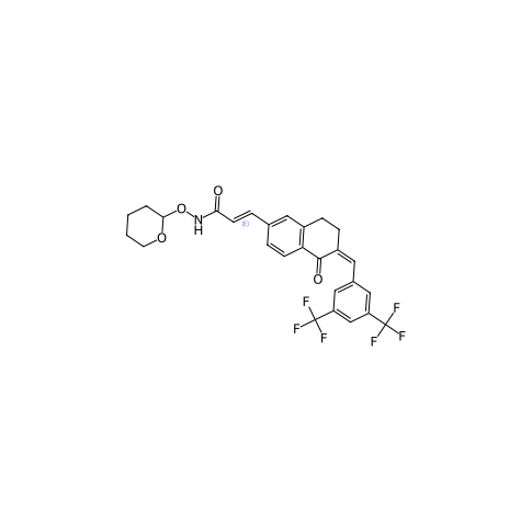 O=C(/C=C/c1ccc2c(c1)CCC(=Cc1cc(C(F)(F)F)cc(C(F)(F)F)c1)C2=O)NOC1CCCCO1